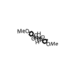 COc1ccc(S(=O)(=O)NNS(=O)(=O)c2ccc(OC)cc2)cc1